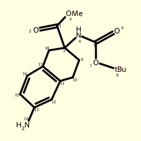 COC(=O)C1(NC(=O)OC(C)(C)C)CCc2cc(N)ccc2C1